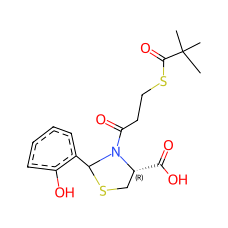 CC(C)(C)C(=O)SCCC(=O)N1C(c2ccccc2O)SC[C@H]1C(=O)O